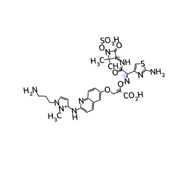 C[n+]1c(Nc2ccc3cc(OC[C@H](O/N=C(\C(=O)N[C@@H]4C(=O)N(OS(=O)(=O)O)C4(C)C)c4csc(N)n4)C(=O)O)ccc3n2)ccn1CCCN